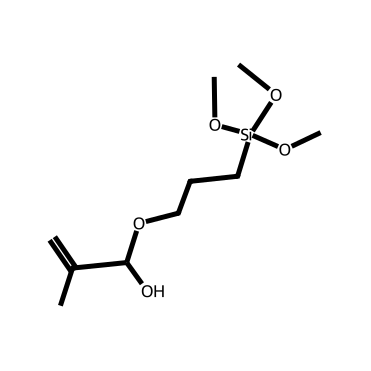 C=C(C)C(O)OCCC[Si](OC)(OC)OC